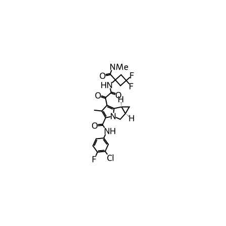 CNC(=O)C1(NC(=O)C(=O)c2c(C)c(C(=O)Nc3ccc(F)c(Cl)c3)n3c2[C@H]2C[C@H]2C3)CC(F)(F)C1